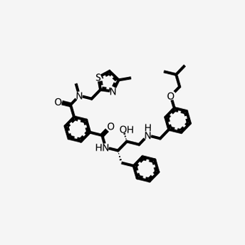 Cc1csc(CN(C)C(=O)c2cccc(C(=O)N[C@@H](Cc3ccccc3)[C@H](O)CNCc3cccc(OCC(C)C)c3)c2)n1